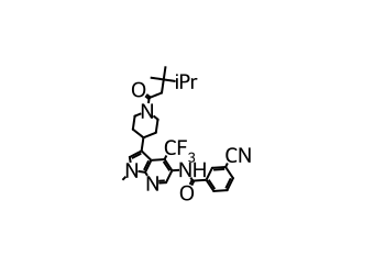 CC(C)C(C)(C)CC(=O)N1CCC(c2cn(C)c3ncc(NC(=O)c4cccc(C#N)c4)c(C(F)(F)F)c23)CC1